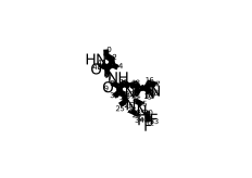 Cc1cc(C)c(CNC(=O)c2cc3cc(-c4ccnn4C)cn3c(C(C)N3CCN(CC(F)(F)F)CC3)c2C)c(=O)[nH]1